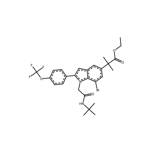 CCOC(=O)C(C)(C)c1cc(Br)c2c(c1)cc(-c1ccc(OC(F)(F)F)cc1)n2CC(=O)NC(C)(C)C